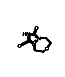 O=c1[nH]c(=O)n2n1CCOCC2